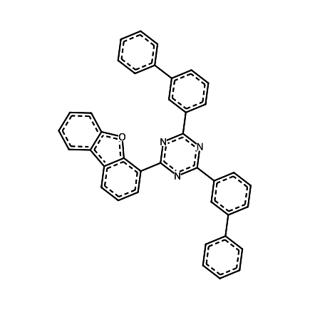 c1ccc(-c2cccc(-c3nc(-c4cccc(-c5ccccc5)c4)nc(-c4cccc5c4oc4ccccc45)n3)c2)cc1